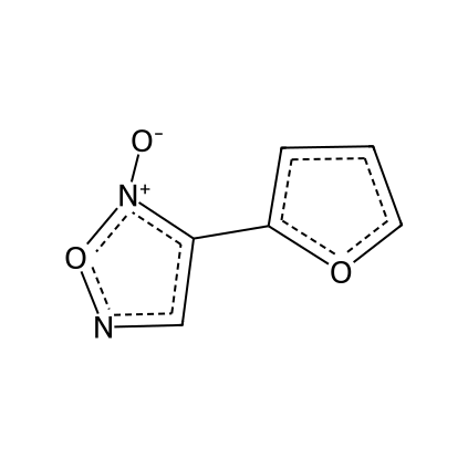 [O-][n+]1oncc1-c1ccco1